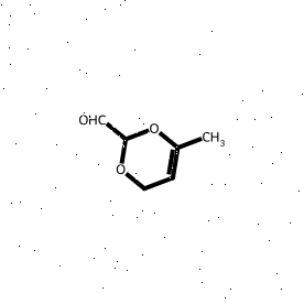 CC1=CCOC(C=O)O1